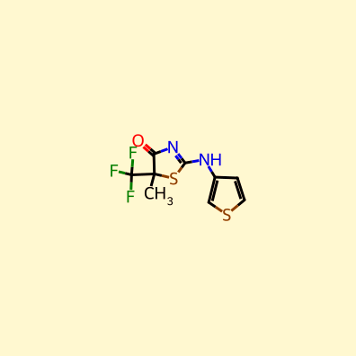 CC1(C(F)(F)F)SC(Nc2ccsc2)=NC1=O